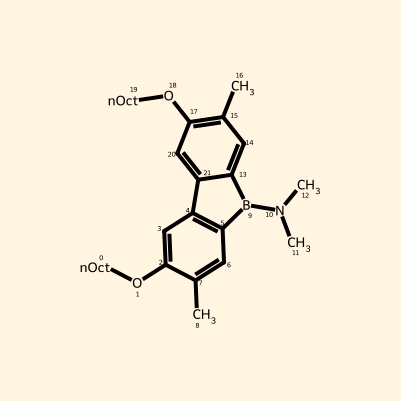 CCCCCCCCOc1cc2c(cc1C)B(N(C)C)c1cc(C)c(OCCCCCCCC)cc1-2